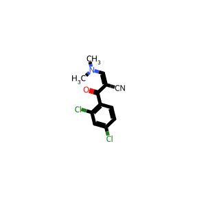 CN(C)/C=C(/C#N)C(=O)c1ccc(Cl)cc1Cl